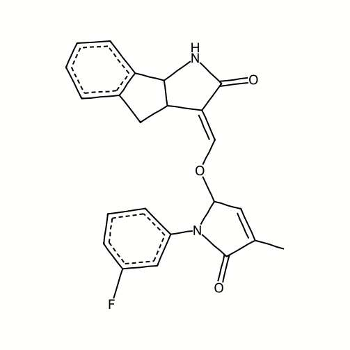 CC1=CC(OC=C2C(=O)NC3c4ccccc4CC23)N(c2cccc(F)c2)C1=O